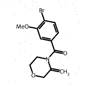 C=C1COCCN1C(=O)c1ccc(Br)c(OC)c1